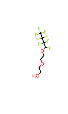 OCCOCCOC(F)C(F)(F)C(F)(F)C(F)(F)F